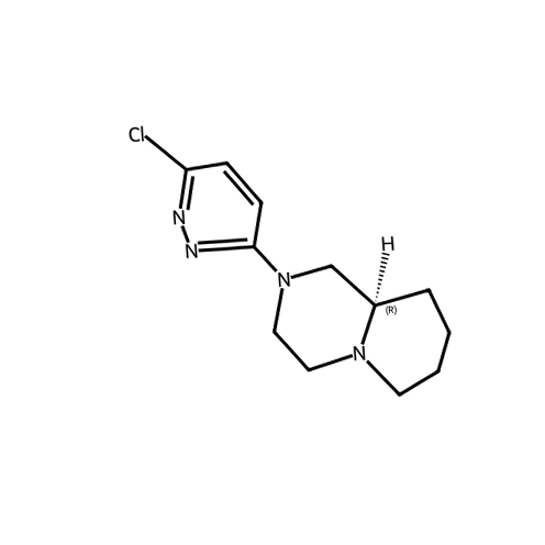 Clc1ccc(N2CCN3CCCC[C@@H]3C2)nn1